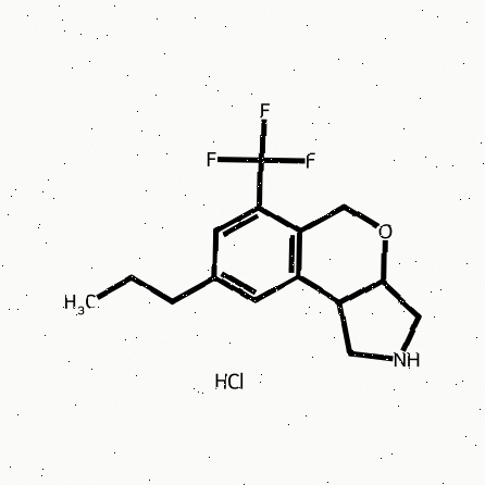 CCCc1cc2c(c(C(F)(F)F)c1)COC1CNCC21.Cl